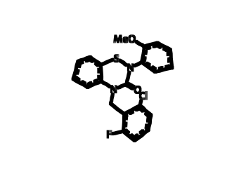 COc1ccccc1N1Sc2ccccc2N(Cc2c(F)cccc2Cl)C1=O